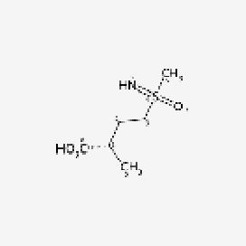 C[C@@H](CCS(C)(=N)=O)C(=O)O